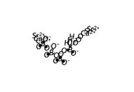 O.O.O.[Ca+2].[Ca+2].[Ca+2].[O-]B([O-])[O-].[O-]B([O-])[O-].[O-]B([O-])[O-].[O-]B([O-])[O-].[Sr+2].[Sr+2].[Sr+2]